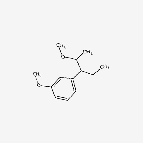 CCC(c1cccc(OC)c1)C(C)OC